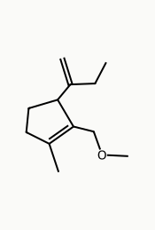 C=C(CC)C1CCC(C)=C1COC